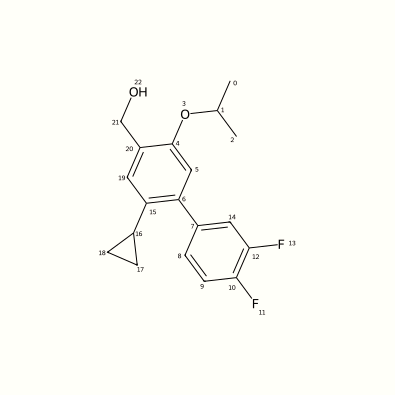 CC(C)Oc1cc(-c2ccc(F)c(F)c2)c(C2CC2)cc1CO